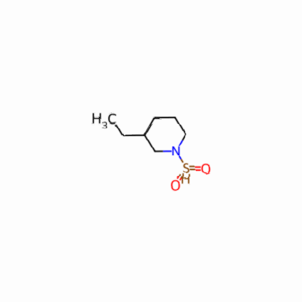 CCC1CCCN([SH](=O)=O)C1